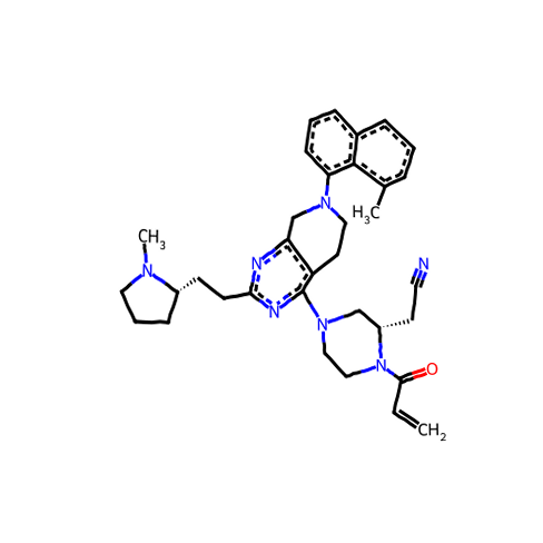 C=CC(=O)N1CCN(c2nc(CC[C@@H]3CCCN3C)nc3c2CCN(c2cccc4cccc(C)c24)C3)C[C@@H]1CC#N